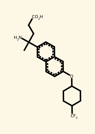 CC(N)(CCC(=O)O)c1ccc2cc(OC3CCC(C(F)(F)F)CC3)ccc2c1